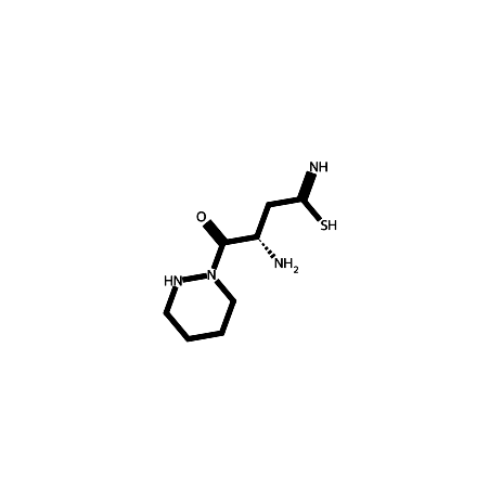 N=C(S)C[C@H](N)C(=O)N1CCCCN1